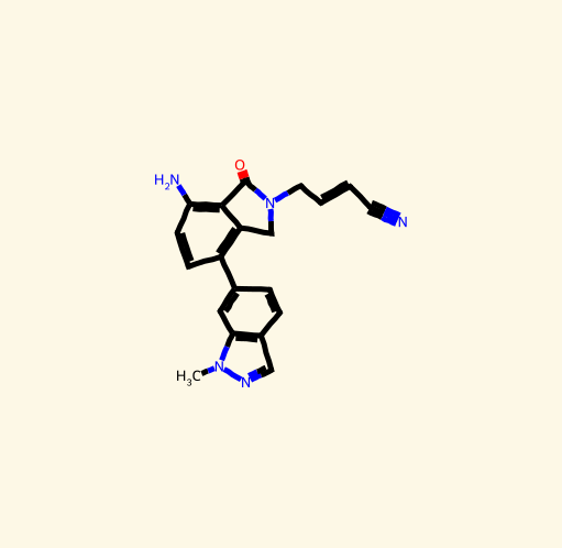 Cn1ncc2ccc(-c3ccc(N)c4c3CN(C/C=C/C#N)C4=O)cc21